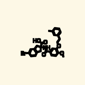 COc1ccc(C(=O)NC2(C(=O)O)Cc3ccc(Br)cc3C2)cc1OCCc1cccc(C)c1